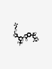 Cn1cnnc1CC1(c2ccc3c(c2)C(=O)N(c2cc(-c4cnn(COCC[Si](C)(C)C)c4)cc(C(F)(F)F)n2)C3)COC1